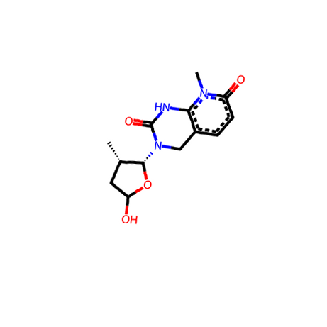 C[C@H]1CC(O)O[C@H]1N1Cc2ccc(=O)n(C)c2NC1=O